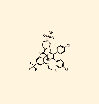 CCOc1cc(C(F)(F)F)ccc1C1(C(=O)N2CCN(S(=O)(=O)O)CC2)NC(c2ccc(Cl)cc2)C(c2ccc(Cl)cc2)N1